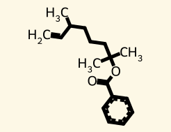 C=CC(C)CCCC(C)(C)OC(=O)c1ccccc1